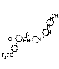 CN1CCN(c2ccc(CN3CCC(NC(=O)c4ccc(Cl)c(-c5ccc(OC(F)(F)F)cc5)c4)CC3)cn2)CC1